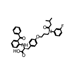 CC(C)CC(=O)N(CCCOc1ccc(C[C@H](Nc2ccccc2C(=O)c2ccccc2)C(=O)O)cc1)c1cccc(F)c1